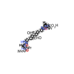 COC(=O)N[C@H](C(=O)N1[C@@H]2C[C@@H]2C[C@H]1c1nc2cc(-c3ccc4c(C=O)c(-c5ccc6cc(-c7ccc8[nH]c([C@@H]9C[C@H]%10C[C@H]%10N9C(=O)[C@@H](NC(=O)O)C(C)C)nc8c7)ccc6c5C=O)ccc4c3)ccc2[nH]1)C(C)C